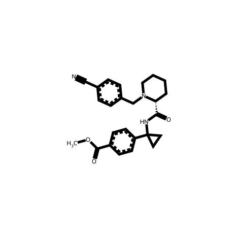 COC(=O)c1ccc(C2(NC(=O)[C@H]3CCCCN3Cc3ccc(C#N)cc3)CC2)cc1